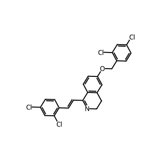 Clc1ccc(C=CC2=NCCc3cc(OCc4ccc(Cl)cc4Cl)ccc32)c(Cl)c1